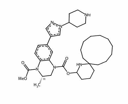 COC(=O)N1c2ccc(-c3cnn(C4CCNCC4)c3)cc2N(C(=O)OC2CCCC3(CCCCCCCCCC3)N2)C[C@@H]1C